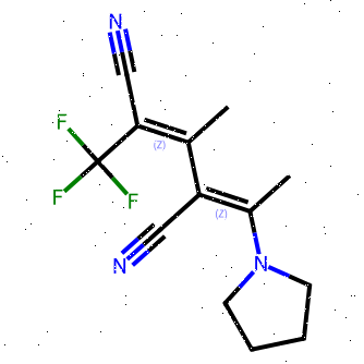 CC(/C(C#N)=C(\C)N1CCCC1)=C(\C#N)C(F)(F)F